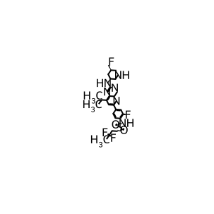 CC(C)c1cc(-c2ccc(NS(=O)(=O)CCC(C)(F)F)c(F)c2)nc2cnc(N[C@@H]3CNC[C@H](CF)C3)nc12